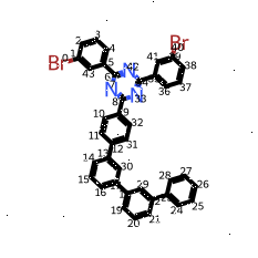 Brc1cccc(-c2nc(-c3ccc(-c4cccc(-c5cccc(-c6ccccc6)c5)c4)cc3)nc(-c3cccc(Br)c3)n2)c1